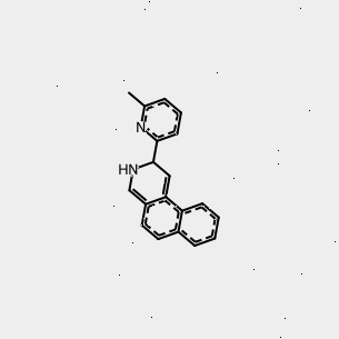 Cc1cccc(C2C=c3c(ccc4ccccc34)=CN2)n1